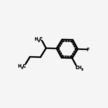 CCCC(C)c1ccc(F)c(C)c1